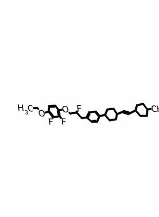 CCOc1ccc(OCC(F)Cc2ccc(C3CCC(C#CC4CCC(C)CC4)CC3)cc2)c(F)c1F